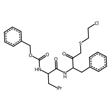 CC(C)CC(NC(=O)OCc1ccccc1)C(=O)NC(Cc1ccccc1)C(=O)CSCCCl